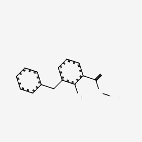 Cc1c(Cc2ccccc2)cccc1C(=O)OC=O